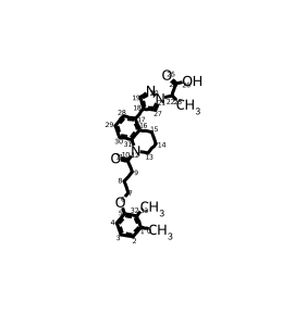 Cc1cccc(OCCCC(=O)N2CCCc3c(-c4cnn(C(C)C(=O)O)c4)cccc32)c1C